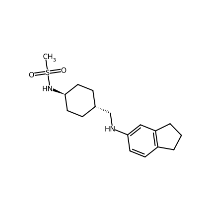 CS(=O)(=O)N[C@H]1CC[C@H](CNc2ccc3c(c2)CCC3)CC1